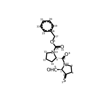 O=C[C@@H]1C(=S)CCN1C(=O)[C@@H]1CCCN1C(=O)OCc1ccccc1